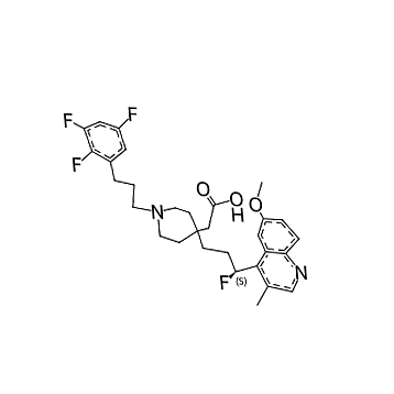 COc1ccc2ncc(C)c([C@@H](F)CCC3(CC(=O)O)CCN(CCCc4cc(F)cc(F)c4F)CC3)c2c1